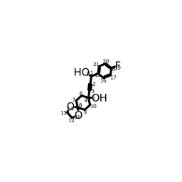 OC(C#CC1(O)CCC2(CC1)OCCO2)c1ccc(F)cc1